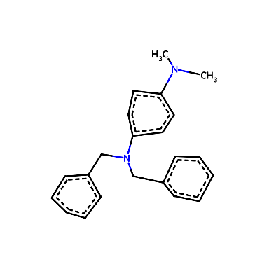 CN(C)c1ccc(N(Cc2ccccc2)Cc2ccccc2)cc1